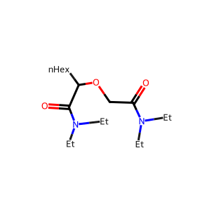 CCCCCCC(OCC(=O)N(CC)CC)C(=O)N(CC)CC